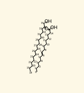 CCCCCCC=CCCCCCCCC(=O)O.CCCCCCCCCCCCCCCCCCO